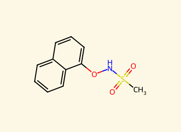 CS(=O)(=O)NOc1cccc2ccccc12